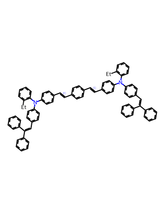 CCc1ccccc1N(c1ccc(C=C(c2ccccc2)c2ccccc2)cc1)c1ccc(/C=C/c2ccc(/C=C/c3ccc(N(c4ccc(C=C(c5ccccc5)c5ccccc5)cc4)c4ccccc4CC)cc3)cc2)cc1